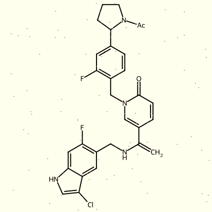 C=C(NCc1cc2c(Cl)c[nH]c2cc1F)c1ccc(=O)n(Cc2ccc(C3CCCN3C(C)=O)cc2F)c1